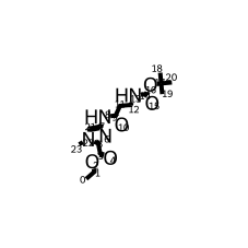 CCOC(=O)c1nc(NC(=O)CCNC(=O)OC(C)(C)C)cn1C